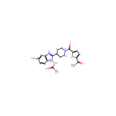 O=C(c1ccc(C(=O)C(F)(F)F)s1)N1CCC(C2=[N+]c3cc(F)ccc3N2OC(=O)C(F)(F)F)CC1